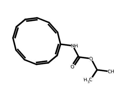 CC(C)OC(=O)NC1=C/C=C\C=C/C=C\C=C/C=C\1